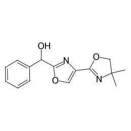 CC1(C)COC(c2coc(C(O)c3ccccc3)n2)=N1